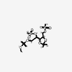 COC(C)(C)OCC(OS(C)(=O)=O)C1OC(C)(C)OC1COS(C)(=O)=O